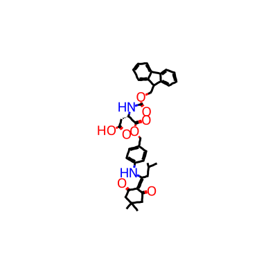 CC(C)CC(Nc1ccc(COC(=O)[C@H](CC(=O)O)NC(=O)OCC2c3ccccc3-c3ccccc32)cc1)=C1C(=O)CC(C)(C)CC1=O